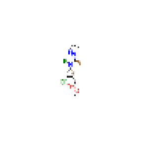 COC(=O)Cc1sc(N(F)C(=S)N2CCCC=N2)cc1Cl